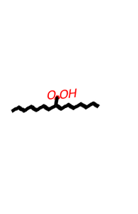 CCCCCCCC(CCCCCCC)C(=O)O